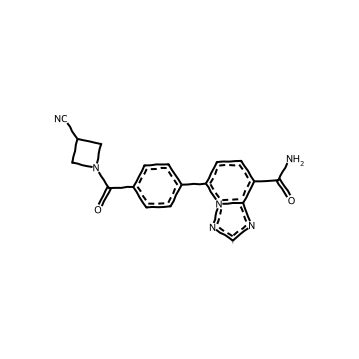 N#CC1CN(C(=O)c2ccc(-c3ccc(C(N)=O)c4n[c]nn34)cc2)C1